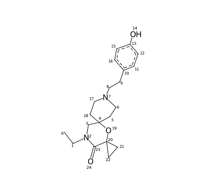 CCN1CC2(CCN(CCc3ccc(O)cc3)CC2)OC2(CC2)C1=O